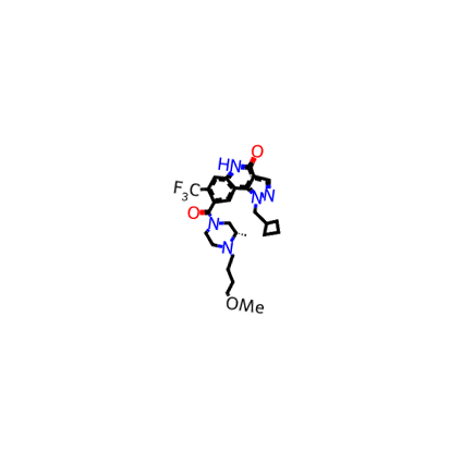 COCCCCN1CCN(C(=O)c2cc3c(cc2C(F)(F)F)[nH]c(=O)c2cnn(CC4CCC4)c23)C[C@@H]1C